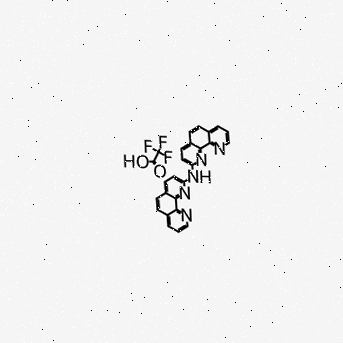 O=C(O)C(F)(F)F.c1cnc2c(c1)ccc1ccc(Nc3ccc4ccc5cccnc5c4n3)nc12